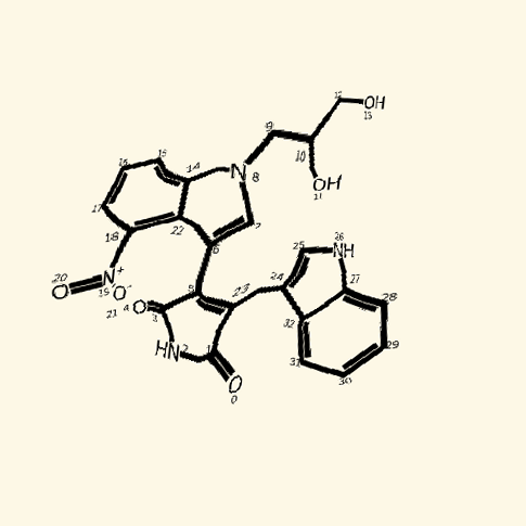 O=C1NC(=O)C(c2cn(CC(O)CO)c3cccc([N+](=O)[O-])c23)=C1c1c[nH]c2ccccc12